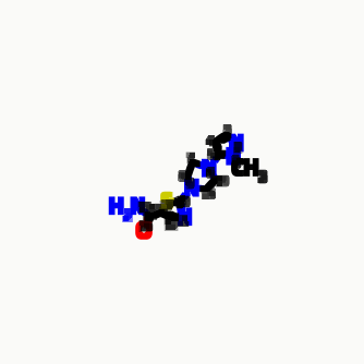 Cn1nccc1N1CCN(c2ncc(C(N)=O)s2)CC1